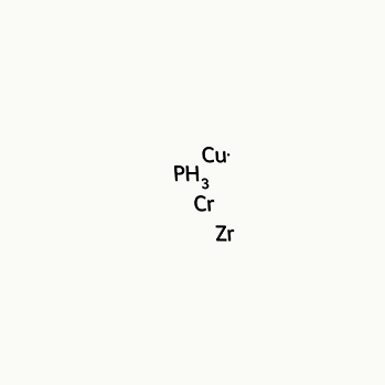 P.[Cr].[Cu].[Zr]